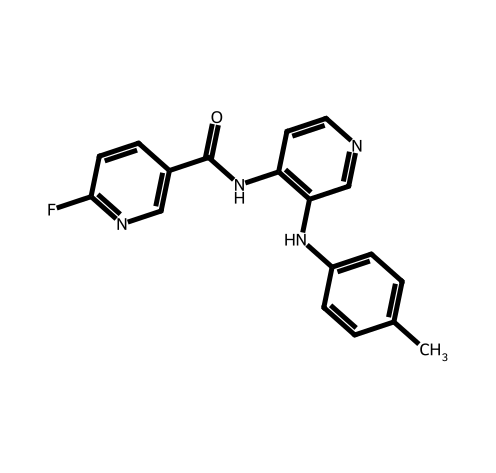 Cc1ccc(Nc2cnccc2NC(=O)c2ccc(F)nc2)cc1